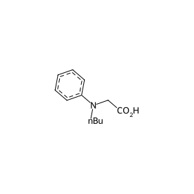 CCCCN(CC(=O)O)c1ccccc1